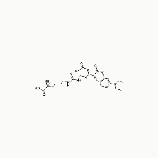 CCN(CC)c1ccc2cc(-c3cc(=O)[nH]c(NC(=O)NCCCC[C@H](N)C(=O)O)n3)c(=O)oc2c1